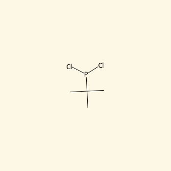 CC(C)(C)P(Cl)Cl